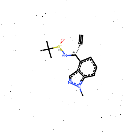 C#C[C@@H](N[S@@+]([O-])C(C)(C)C)c1cccc2c1cnn2C